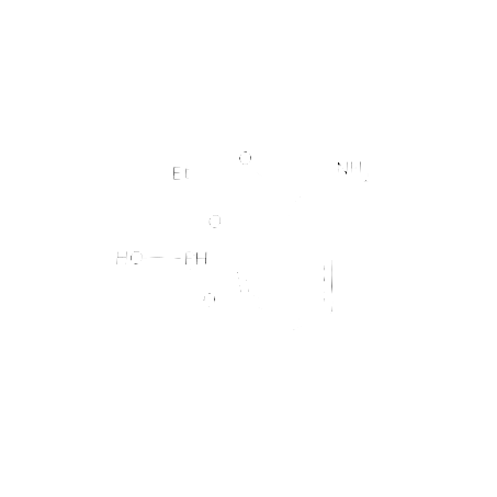 CCO[PH](=O)O.NC(=O)c1ccccc1